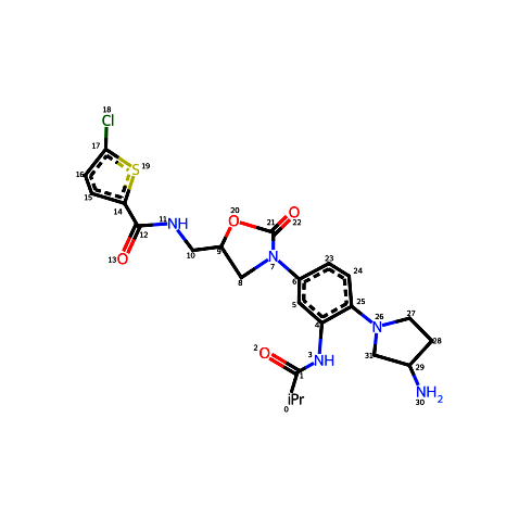 CC(C)C(=O)Nc1cc(N2CC(CNC(=O)c3ccc(Cl)s3)OC2=O)ccc1N1CCC(N)C1